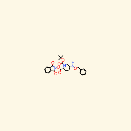 CC(C)(C)OC(=O)N1C[C@H](NOCc2ccccc2)CC[C@H]1C(=O)ON1C(=O)c2ccccc2C1=O